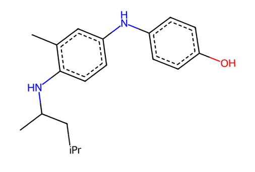 Cc1cc(Nc2ccc(O)cc2)ccc1NC(C)CC(C)C